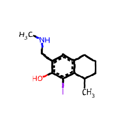 CNCc1cc2c(c(I)c1O)C(C)CCC2